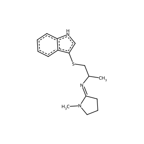 CC(CSc1c[nH]c2ccccc12)N=C1CCCN1C